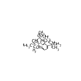 COC1(OC)C=C(c2cccc(C(C)(C)C)c2O)C(O)C(C(C)(C)C)=C1